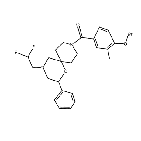 Cc1cc(C(=O)N2CCC3(CC2)CN(CC(F)F)CC(c2ccccc2)O3)ccc1OC(C)C